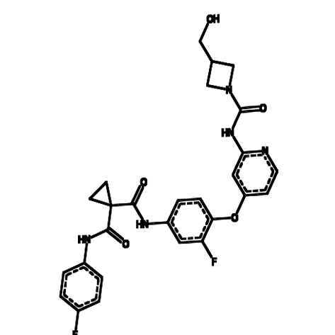 O=C(Nc1cc(Oc2ccc(NC(=O)C3(C(=O)Nc4ccc(F)cc4)CC3)cc2F)ccn1)N1CC(CO)C1